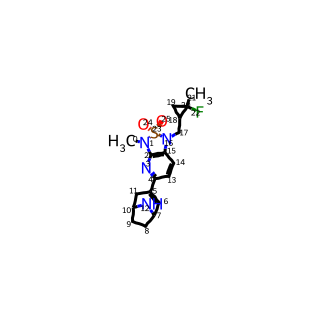 CN1c2nc(C3=CC4CCC(C3)N4)ccc2N(CC2CC2(C)F)S1(=O)=O